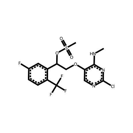 CNc1nc(Cl)ncc1OCC(OS(C)(=O)=O)c1cc(F)ccc1C(F)(F)F